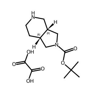 CC(C)(C)OC(=O)N1C[C@H]2CNCC[C@H]2C1.O=C(O)C(=O)O